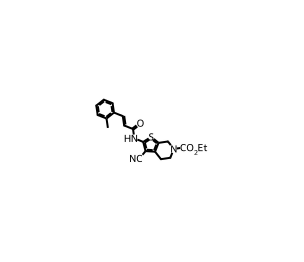 CCOC(=O)N1CCc2c(sc(NC(=O)C=Cc3ccccc3C)c2C#N)C1